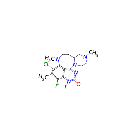 Cc1c(Cl)c2c3c(nc(=O)n(I)c3c1F)N1CCN(C)CC1CCN2C